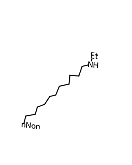 CCCCCCCCCCCCCCCCCCCCNCC